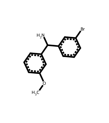 COc1cccc(C(N)c2cccc(Br)c2)c1